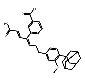 COc1cc(CC/C=C(/C=C/C(=O)O)c2cccc(C(=O)O)c2)ccc1C12CC3CC(CC(C3)C1)C2